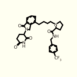 O=C1CCC(N2Cc3c(CCCCN4CCCC4C(=O)NCc4ccc(C(F)(F)F)cc4)cccc3C2=O)C(=O)N1